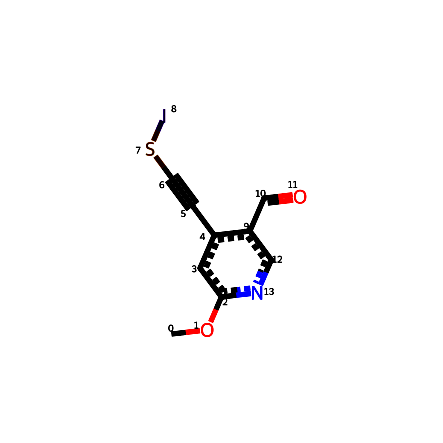 COc1cc(C#CSI)c(C=O)cn1